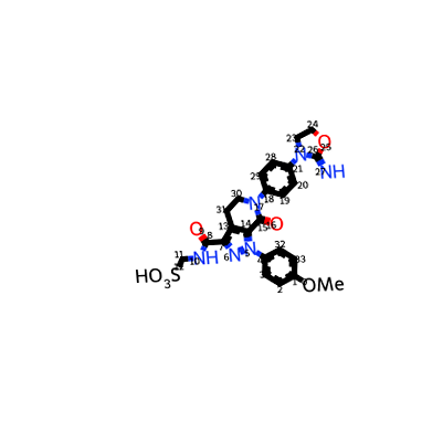 COc1ccc(-n2nc(C(=O)NCS(=O)(=O)O)c3c2C(=O)N(c2ccc(N4CCOC4=N)cc2)CC3)cc1